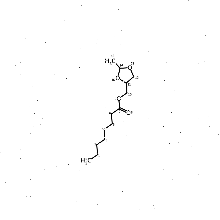 CCCCCCCC(=O)OCC1COC(C)O1